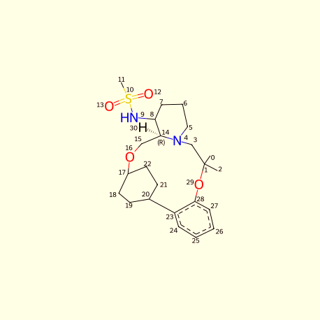 CC1(C)CN2CCCC(NS(C)(=O)=O)[C@@H]2COC2CCC(CC2)c2ccccc2O1